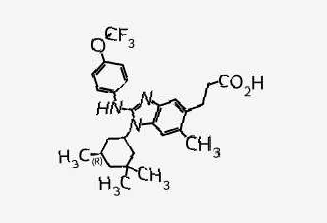 Cc1cc2c(cc1CCC(=O)O)nc(Nc1ccc(OC(F)(F)F)cc1)n2C1C[C@H](C)CC(C)(C)C1